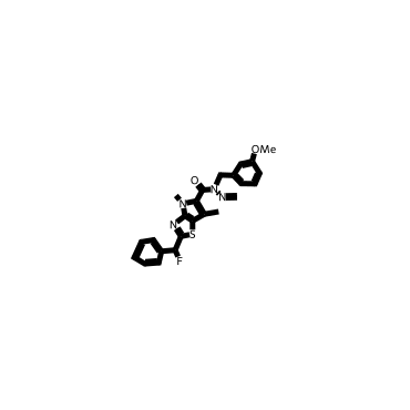 C=NN(Cc1cccc(OC)c1)C(=O)c1c(C)c2sc(C(F)c3ccccc3)nc2n1C